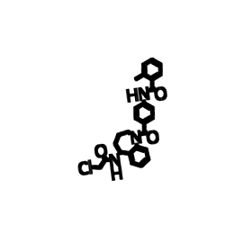 Cc1ccccc1C(=O)Nc1ccc(C(=O)N2CCCC(NC(=O)CCl)c3ccccc32)cc1